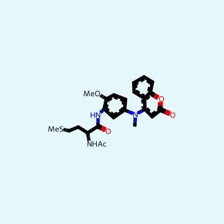 COc1ccc(N(C)c2cc(=O)oc3ccccc23)cc1NC(=O)C(CCSC)NC(C)=O